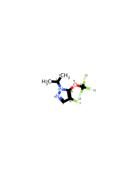 CC(C)n1n[c]c(F)c1OC(F)(F)F